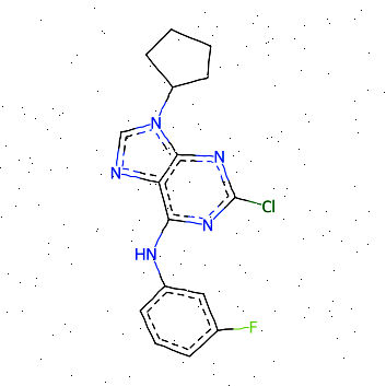 Fc1cccc(Nc2nc(Cl)nc3c2ncn3C2CCCC2)c1